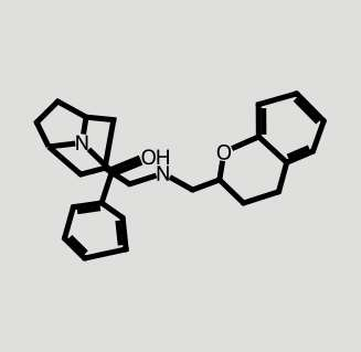 O=C(c1ccccc1)N1C2CCC1CC(CNCC1CCc3ccccc3O1)C2